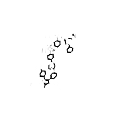 CCCn1c(C)c(C(=O)O)c(-c2cccc(N3CCN(c4ccc(NS(=O)(=O)c5ccc(N[C@H](CCN(C)C)CSc6ccccc6)c([N+](=O)[O-])c5)cc4)CC3)c2)c1-c1ccc(Cl)cc1